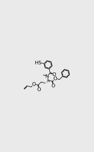 C=CCOC(=O)CC[C@@H](C(=O)OCc1ccccc1)N(C)C(=O)c1cccc(S)c1